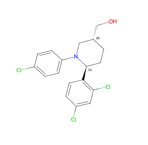 OC[C@@H]1CC[C@@H](c2ccc(Cl)cc2Cl)N(c2ccc(Cl)cc2)C1